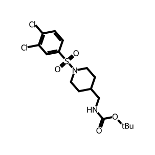 CC(C)(C)OC(=O)NCC1CCN(S(=O)(=O)c2ccc(Cl)c(Cl)c2)CC1